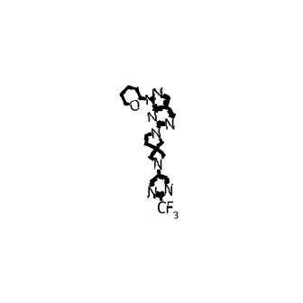 FC(F)(F)c1ncc(N2CC3(CCN(c4ncc5cnn(C6CCCCO6)c5n4)C3)C2)cn1